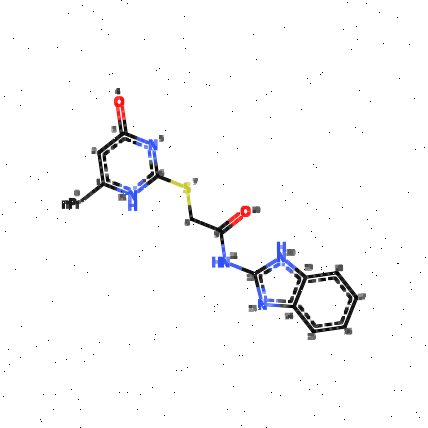 CCCc1cc(=O)nc(SCC(=O)Nc2nc3ccccc3[nH]2)[nH]1